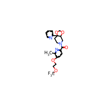 Cc1nc(C(=O)N2CCC3(c4ccccn4)OCOC3C2)ccc1OCCOC(F)(F)F